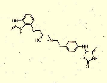 O=C1NC(=O)C(Nc2ccc(CCNC[C@@H](O)COc3cccc4[nH]c(=O)[nH]c34)cc2)S1